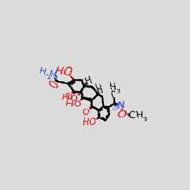 CO/N=C(/C)c1ccc(O)c2c1C[C@H]1C[C@H]3CC(O)=C(C(N)=O)C(=O)[C@@]3(O)C(O)=C1C2=O